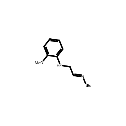 COc1ccccc1PCC=NC(C)(C)C